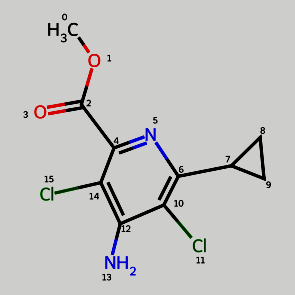 COC(=O)c1nc(C2CC2)c(Cl)c(N)c1Cl